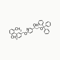 Cc1cccc(C)c1-c1cccc(COc2ccc(C(O)CCOC(c3ccccc3)(c3ccccc3)c3ccccc3)cn2)c1